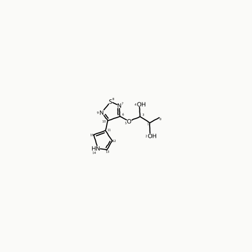 CC(O)C(O)Oc1nsnc1-c1cc[nH]c1